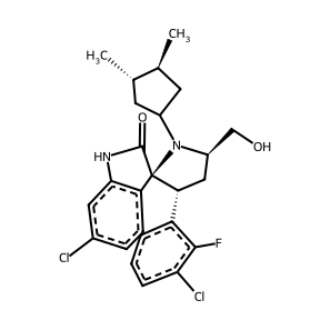 C[C@H]1CC(N2[C@@H](CO)C[C@H](c3cccc(Cl)c3F)[C@]23C(=O)Nc2cc(Cl)ccc23)C[C@@H]1C